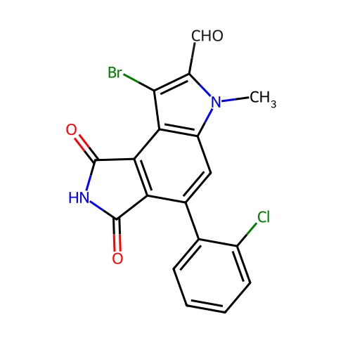 Cn1c(C=O)c(Br)c2c3c(c(-c4ccccc4Cl)cc21)C(=O)NC3=O